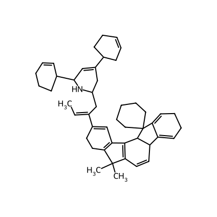 C/C=C(\CC1CC(C2CC=CCC2)=CC(C2C=CCCC2)N1)C1=CC2=C(CC1)C(C)(C)C1=C2C2C(C=C1)C1=CCCC=C1C21CCCCC1